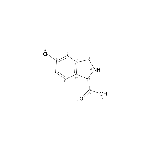 O=C(O)[C@H]1NCc2cc(Cl)ccc21